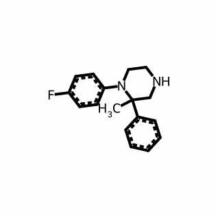 CC1(c2ccccc2)CNCCN1c1ccc(F)cc1